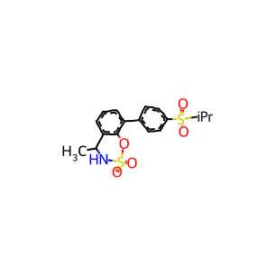 CC1NS(=O)(=O)Oc2c(-c3ccc(S(=O)(=O)C(C)C)cc3)cccc21